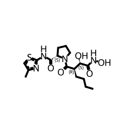 CCCC[C@@H](C(=O)N1CCC[C@H]1C(=O)Nc1nc(C)cs1)[C@H](O)C(=O)NO